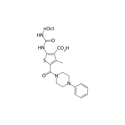 CCCCCCCCNC(=O)Nc1sc(C(=O)N2CCN(c3ccccc3)CC2)c(C)c1C(=O)O